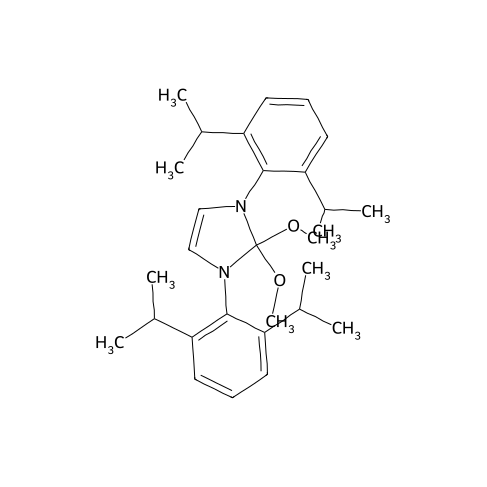 COC1(OC)N(c2c(C(C)C)cccc2C(C)C)C=CN1c1c(C(C)C)cccc1C(C)C